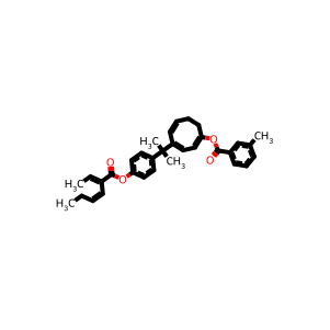 C/C=C(\C=C/CC)C(=O)Oc1ccc(C(C)(C)C2=C/C=C(/OC(=O)c3cccc(C)c3)CC/C=C\2)cc1